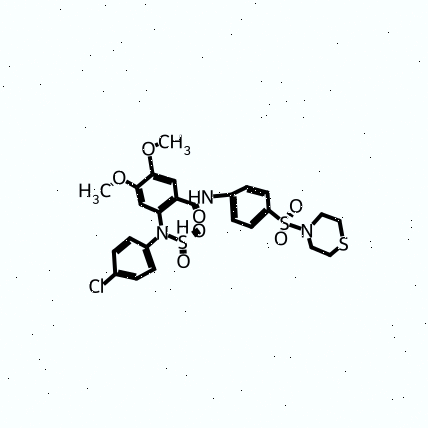 COc1cc(C(=O)Nc2ccc(S(=O)(=O)N3CCSCC3)cc2)c(N(c2ccc(Cl)cc2)[SH](=O)=O)cc1OC